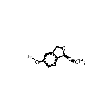 C=C=C1OCc2cc(OC(C)C)ccc21